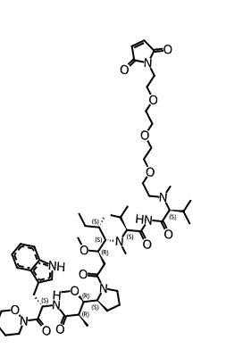 CC[C@H](C)[C@@H]([C@@H](CC(=O)N1CCC[C@H]1[C@H](OC)[C@@H](C)C(=O)N[C@@H](Cc1c[nH]c2ccccc12)C(=O)N1CCCCO1)OC)N(C)[C@H](C(=O)NC(=O)[C@H](C(C)C)N(C)CCOCCOCCOCCN1C(=O)C=CC1=O)C(C)C